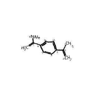 C=C(C)c1ccc(C(=C)NC)cc1